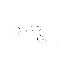 O=C(c1cn2c(-c3ccnc(N4CCNCC4)c3)cnc2cn1)N1CCCc2cc(F)ccc21